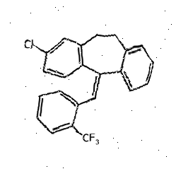 FC(F)(F)c1ccccc1C=C1c2ccccc2CCc2cc(Cl)ccc21